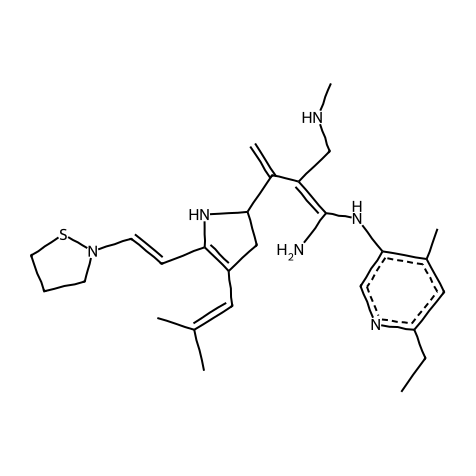 C=C(/C(CNC)=C(\N)Nc1cnc(CC)cc1C)C1CC(C=C(C)C)=C(/C=C/N2CCCS2)N1